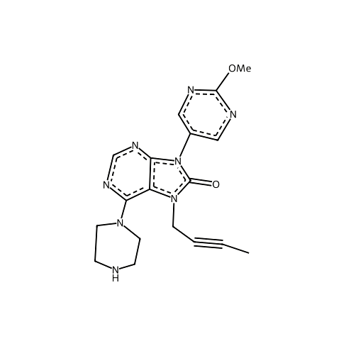 CC#CCn1c(=O)n(-c2cnc(OC)nc2)c2ncnc(N3CCNCC3)c21